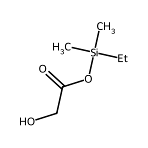 CC[Si](C)(C)OC(=O)CO